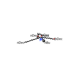 CCCCCCCCCCCCCCCCCCCCCCCc1cccc(C2=C(CCCCC)C(CCCCCCCCCCCCCCCCCCCCCC)=C(c3ccc(CCCC)cc3)[N+]2=[N-])c1.CCCCCCCCCCC[CH2][Ni][CH2]CCCCCCCCCCC